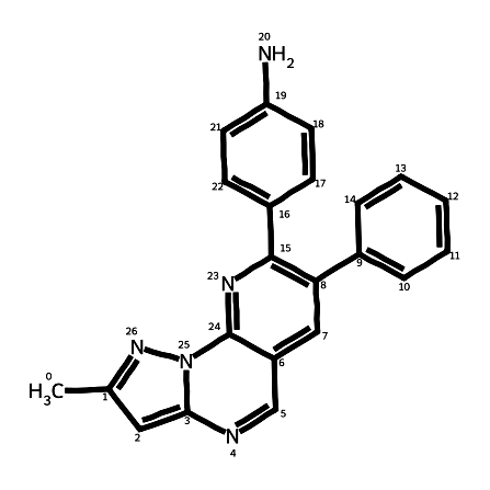 Cc1cc2ncc3cc(-c4ccccc4)c(-c4ccc(N)cc4)nc3n2n1